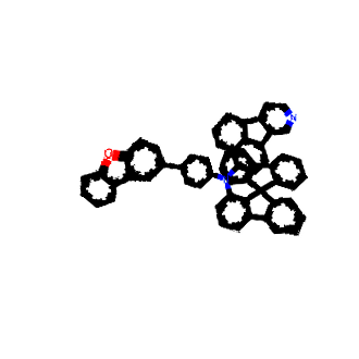 c1ccc2c(c1)-c1ccccc1C21c2ccccc2-c2cccc(N(c3ccc(-c4ccc5oc6ccccc6c5c4)cc3)c3ccc4c5c(cccc35)-c3ccncc3-4)c21